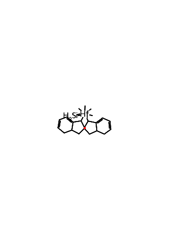 [CH3][Hf]([CH3])([CH3])([CH3])(=[SiH2])([CH]1CCC2CC=CC=C21)[CH]1CCC2CC=CC=C21